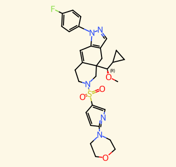 CO[C@H](C1CC1)C12Cc3cnn(-c4ccc(F)cc4)c3C=C1CCN(S(=O)(=O)c1ccc(N3CCOCC3)nc1)C2